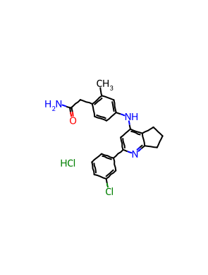 Cc1cc(Nc2cc(-c3cccc(Cl)c3)nc3c2CCC3)ccc1CC(N)=O.Cl